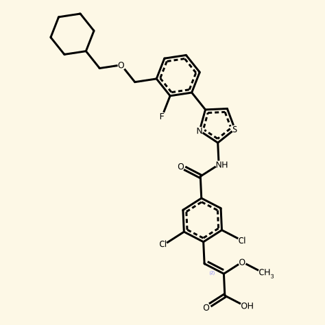 CO/C(=C\c1c(Cl)cc(C(=O)Nc2nc(-c3cccc(COCC4CCCCC4)c3F)cs2)cc1Cl)C(=O)O